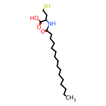 CCCCCCCCCCCCCCCC(=O)NC(CCS)C(=O)O